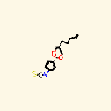 C=CCCC[C@H]1CO[C@H](c2ccc(N=C=S)cc2)OC1